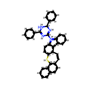 C1=Cc2c(ccc3c2c2ccccc2n3C2=NC(c3ccccc3)NC(c3ccccc3)=N2)Sc2c1ccc1ccccc21